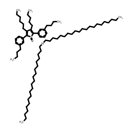 CCCCCCC1=C(c2cccc(CCCC)c2)[N+](=[N-])C(c2cccc(CCCC)c2)=C1CCCCC.CCCCCCCCCCCCCCCCCCCC[CH2][Ni][CH2]CCCCCCCCCCCCCCCCCCCC